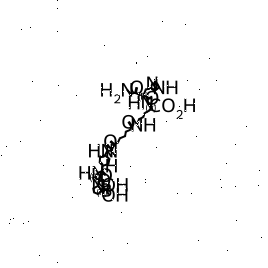 C[C@@H](NC(=O)c1ccc(NNC(=O)CCCCCC(=O)NCCCC[C@H](NC(=O)[C@@H](CC(=O)CN)Cc2c[nH]cn2)C(=O)O)cc1)C(=O)N1CCC[C@H]1B(O)O